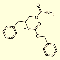 NC(=O)OCC(Cc1ccccc1)NC(=O)OCc1ccccc1